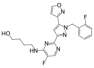 OCCCCNc1nc(-c2cc(-c3ccon3)n(Cc3ccccc3F)n2)ncc1F